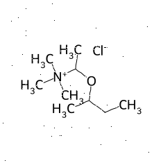 CCC(C)OC(C)[N+](C)(C)C.[Cl-]